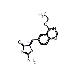 CCOc1ncnc2ccc(/C=C3\SC(N)=NC3=O)cc12